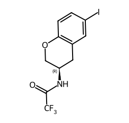 O=C(N[C@H]1COc2ccc(I)cc2C1)C(F)(F)F